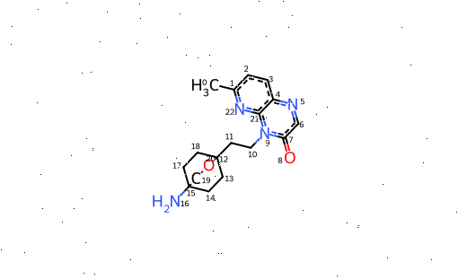 Cc1ccc2ncc(=O)n(CCC34CCC(N)(CC3)CO4)c2n1